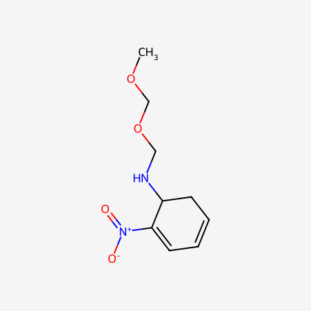 COCOCNC1CC=CC=C1[N+](=O)[O-]